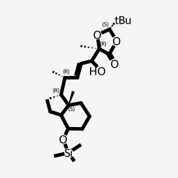 C[C@H](C=CC(O)[C@@]1(C)O[C@H](C(C)(C)C)OC1=O)[C@H]1CCC2C(O[Si](C)(C)C)CCC[C@]21C